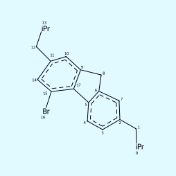 CC(C)Cc1ccc2c(c1)Cc1cc(CC(C)C)cc(Br)c1-2